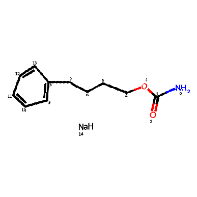 NC(=O)OCCCCc1ccccc1.[NaH]